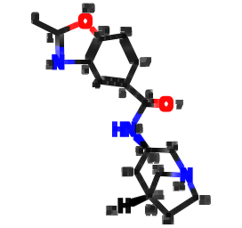 Cc1nc2cc(C(=O)N[C@@H]3C[C@H]4CCN(C4)C3)ccc2o1